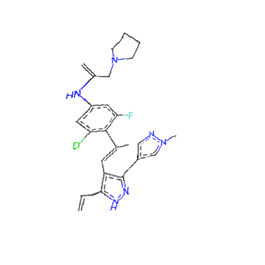 C=Cc1[nH]nc(-c2cnn(C)c2)c1/C=C(\C)c1c(F)cc(NC(=C)CN2CCCC2)cc1Cl